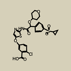 O=C(O)c1cc(Oc2cnc(NC(=O)C(OC3CCOCC3)c3ccc(S(=O)(=O)C4CC4)cc3)s2)ccc1Cl